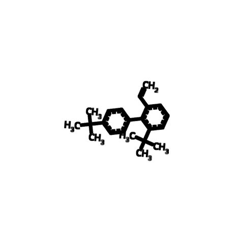 C=Cc1cccc(C(C)(C)C)c1-c1ccc(C(C)(C)C)cc1